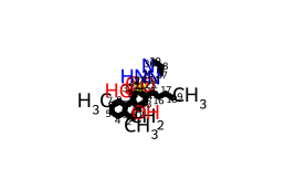 C=C(C)C1CCC(C)=CC1c1c(O)cc(CCCCC)c(S(=O)(=O)Nc2ncccn2)c1O